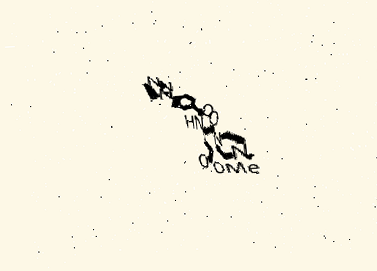 COC(=O)CC[C@H](NC(=O)c1ccc(-n2ccnn2)cc1)C(=O)N1CCN(C)CC1